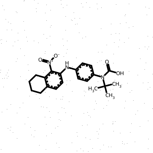 CC(C)(C)N(C(=O)O)c1ccc(Nc2ccc3c(c2[N+](=O)[O-])CCCC3)cc1